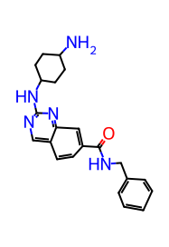 NC1CCC(Nc2ncc3ccc(C(=O)NCc4ccccc4)cc3n2)CC1